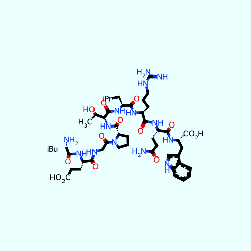 CC[C@H](C)[C@H](N)C(=O)N[C@@H](CCC(=O)O)C(=O)NCC(=O)N1CCC[C@H]1C(=O)N[C@H](C(=O)N[C@@H](CC(C)C)C(=O)N[C@@H](CCCNC(=N)N)C(=O)N[C@@H](CCC(N)=O)C(=O)N[C@@H](Cc1c[nH]c2ccccc12)C(=O)O)[C@@H](C)O